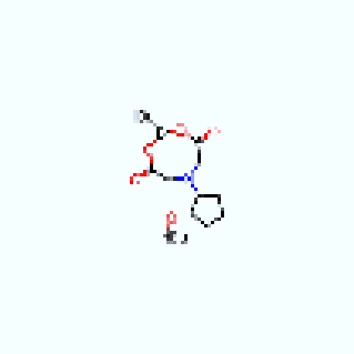 CCCCO[C@H]1CCC[C@@H]1N1CC(=O)OB([C@@H](C)CC)OC(=O)C1